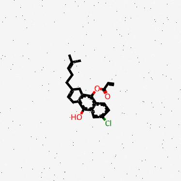 C=CC(=O)Oc1c2c(c(O)c3cc(Cl)ccc13)CC=C(CCC=C(C)C)C2